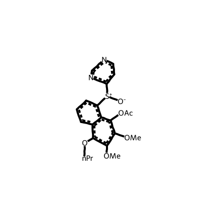 CCCOc1c(OC)c(OC)c(OC(C)=O)c2c([S+]([O-])c3ccncn3)cccc12